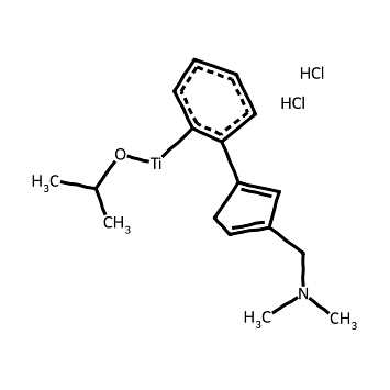 CC(C)[O][Ti][c]1ccccc1C1=CC(CN(C)C)=CC1.Cl.Cl